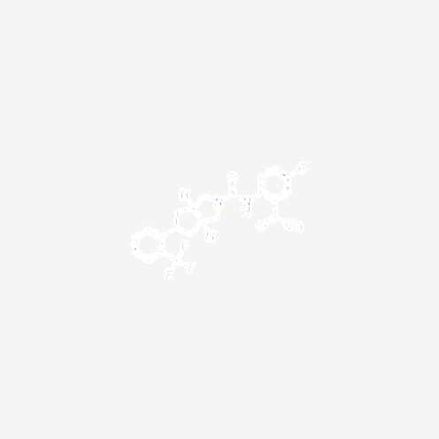 O=C(O)c1cc(Cl)ccc1NC(=O)N1C[C@H]2C[C@H](c3ccccc3C(F)(F)F)C[C@H]2C1